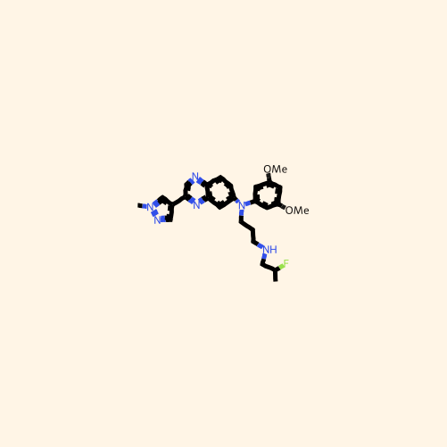 COc1cc(OC)cc(N(CCCNCC(C)F)c2ccc3ncc(-c4cnn(C)c4)nc3c2)c1